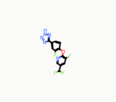 Fc1cc(-c2nn[nH]n2)ccc1Oc1ncc(C(F)F)cc1F